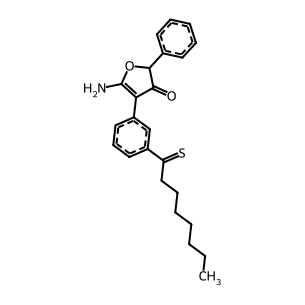 CCCCCCCC(=S)c1cccc(C2=C(N)OC(c3ccccc3)C2=O)c1